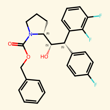 O=C(OCc1ccccc1)N1CCC[C@@H]1[C@@H](O)[C@@H](c1ccc(F)cc1)c1cccc(F)c1F